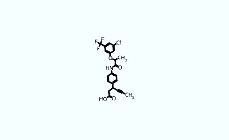 CC#CC(CC(=O)O)c1ccc(NC(=O)C(C)Oc2cc(Cl)cc(C(F)(F)F)c2)cc1